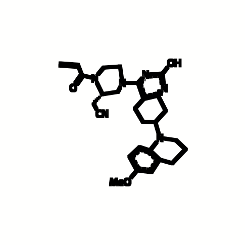 C=CC(=O)N1CCN(c2nc(O)nc3c2CCC(N2CCCc4cc(OC)ccc42)C3)C[C@@H]1CC#N